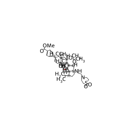 C=C(C)[C@@H]1CC[C@]2(NCCN3CCS(=O)(=O)CC3)C[C@@H]3OC(C)(C)O[C@H]4C[C@H]5C(C)(C)C(c6ccc(C(=O)OC)cc6)=CC[C@]5(C)[C@H]5CC[C@H]([C@@H]12)[C@]3(C)[C@]45C